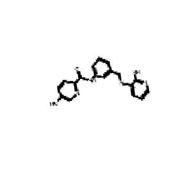 Nc1ncccc1NCc1cccc(NC(=O)c2ccc(O)cn2)c1